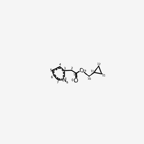 O=C(Cc1ccccn1)OCC1CC1